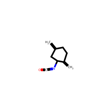 C=C1CCC(=C)C(N=C=O)C1